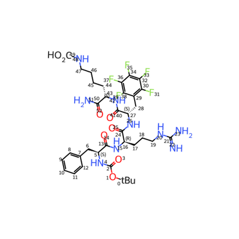 CC(C)(C)OC(=O)N[C@@H](Cc1ccccc1)C(=O)N[C@H](CCCNC(=N)N)C(=O)N[C@@H](Cc1c(F)c(F)c(F)c(F)c1F)C(=O)N[C@@H](CCCCNC(=O)O)C(N)=O